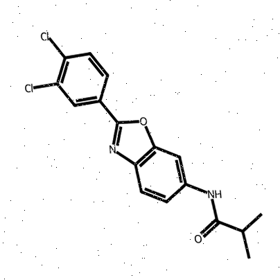 CC(C)C(=O)Nc1ccc2nc(-c3ccc(Cl)c(Cl)c3)oc2c1